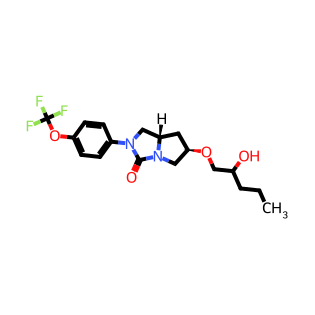 CCCC(O)CO[C@@H]1C[C@H]2CN(c3ccc(OC(F)(F)F)cc3)C(=O)N2C1